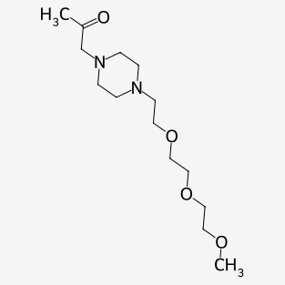 COCCOCCOCCN1CCN(CC(C)=O)CC1